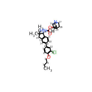 CCCCOc1ccc(-c2ccc3c(c2)CC(C)(C)[C@H]3NC(=O)O[C@@H]2CN3CCC2CC3)cc1Cl